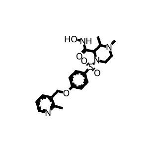 Cc1ncccc1COc1ccc(S(=O)(=O)N2CCN(C)C(C)C2C(=O)NO)cc1